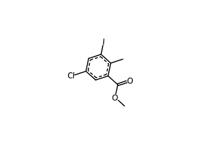 COC(=O)c1cc(Cl)cc(I)c1C